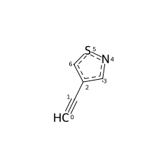 C#Cc1[c]nsc1